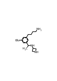 CC(NC1CNC1)c1cc(CCCCN)cc(C(C)(C)C)c1